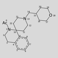 CC(=O)N1CCc2ccccc2C12CCN(CC1CCOCC1)CC2